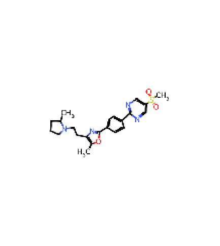 Cc1oc(-c2ccc(-c3ncc(S(C)(=O)=O)cn3)cc2)nc1CCN1CCCC1C